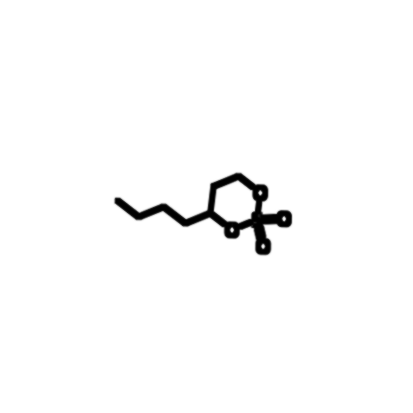 CCCCC1CCOS(=O)(=O)O1